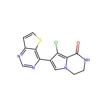 O=C1NCCn2cc(-c3ncnc4ccsc34)c(Cl)c21